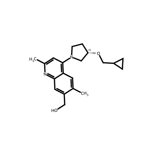 Cc1cc(N2CC[C@H](OCC3CC3)C2)c2cc(C)c(CO)cc2n1